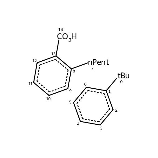 CC(C)(C)c1ccccc1.CCCCCc1ccccc1C(=O)O